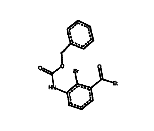 CCC(=O)c1cccc(NC(=O)OCc2ccccc2)c1Br